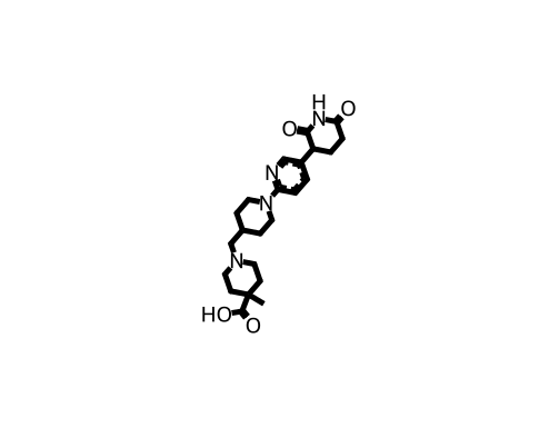 CC1(C(=O)O)CCN(CC2CCN(c3ccc(C4CCC(=O)NC4=O)cn3)CC2)CC1